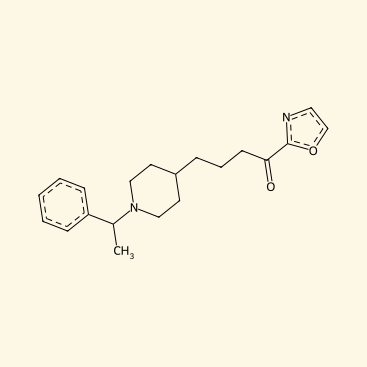 CC(c1ccccc1)N1CCC(CCCC(=O)c2ncco2)CC1